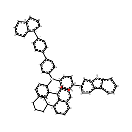 c1ccc(N(c2ccc(-c3ccc(-c4cccc5ccccc45)cc3)cc2)c2ccc(-c3ccc4c(c3)oc3ccccc34)cc2)c(-c2cccc3cccc(C4CCCCC4)c23)c1